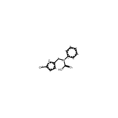 O=C(O)N(Cc1ccc(Cl)s1)c1ccccc1